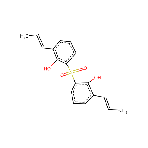 CC=Cc1cccc(S(=O)(=O)c2cccc(C=CC)c2O)c1O